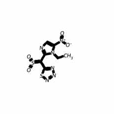 CCn1c([N+](=O)[O-])cnc1C(c1nnns1)=S(=O)=O